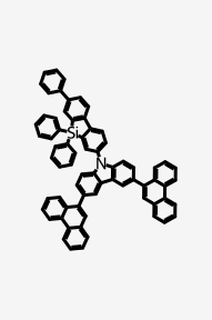 c1ccc(-c2ccc3c(c2)[Si](c2ccccc2)(c2ccccc2)c2cc(-n4c5ccc(-c6cc7ccccc7c7ccccc67)cc5c5cc(-c6cc7ccccc7c7ccccc67)ccc54)ccc2-3)cc1